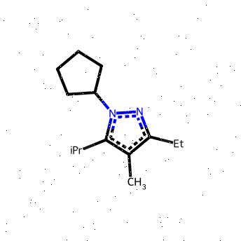 CCc1nn(C2CCCC2)c(C(C)C)c1C